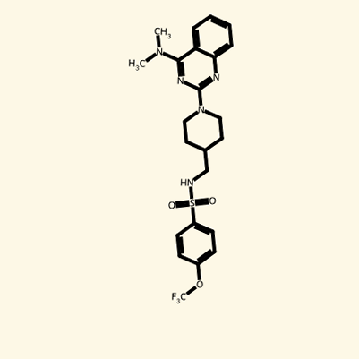 CN(C)c1nc(N2CCC(CNS(=O)(=O)c3ccc(OC(F)(F)F)cc3)CC2)nc2ccccc12